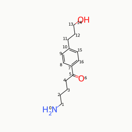 NCCCCC(=O)c1ccc(CCCO)cc1